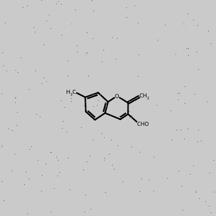 C=C1Oc2cc(C)ccc2C=C1C=O